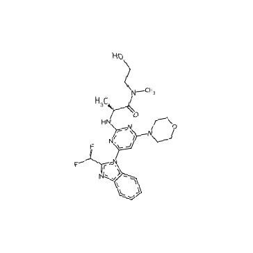 C[C@H](Nc1nc(N2CCOCC2)cc(-n2c(C(F)F)nc3ccccc32)n1)C(=O)N(C)CCO